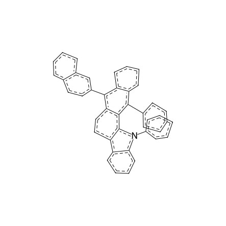 c1ccc(-c2c3ccccc3c(-c3ccc4ccccc4c3)c3ccc4c5ccccc5n(-c5ccccc5)c4c23)cc1